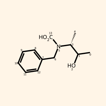 CC(O)[C@@H](C)N(Cc1ccccc1)C(=O)O